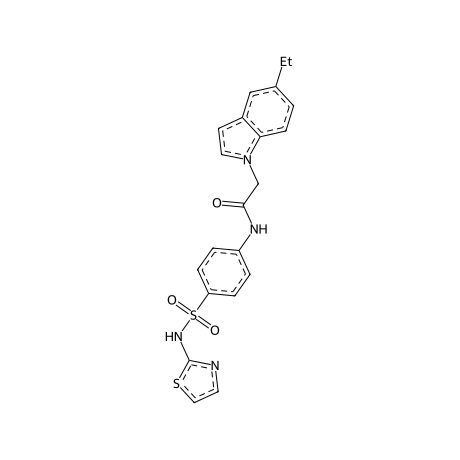 CCc1ccc2c(ccn2CC(=O)Nc2ccc(S(=O)(=O)Nc3nccs3)cc2)c1